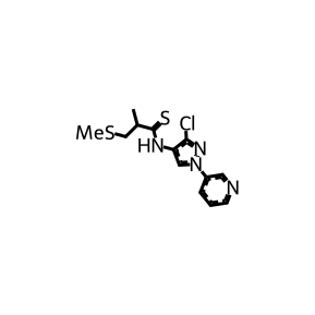 CSCC(C)C(=S)Nc1cn(-c2cccnc2)nc1Cl